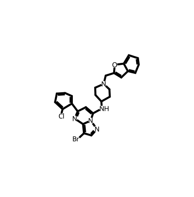 Clc1ccccc1-c1cc(NC2CCN(Cc3cc4ccccc4o3)CC2)n2ncc(Br)c2n1